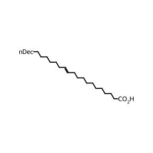 CCCCCCCCCCCCCCCCC=CCCCCCCCCCCC(=O)O